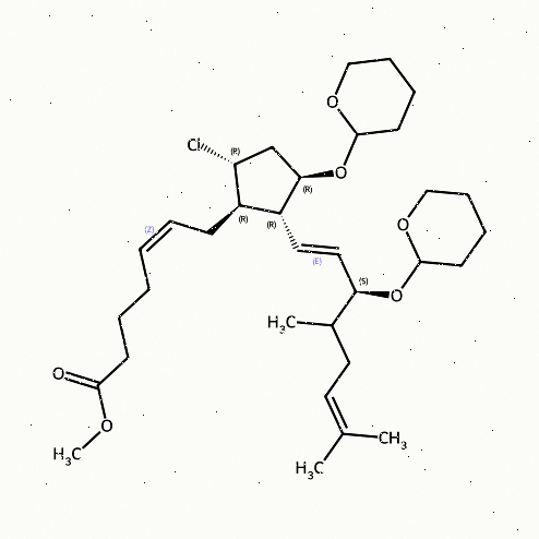 COC(=O)CCC/C=C\C[C@@H]1[C@@H](/C=C/[C@@H](OC2CCCCO2)C(C)CC=C(C)C)[C@H](OC2CCCCO2)C[C@H]1Cl